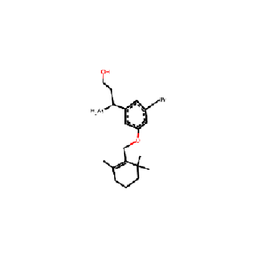 CC1=C(COc2cc(C(C)C)cc([C@@H]([AsH2])CCO)c2)C(C)(C)CCC1